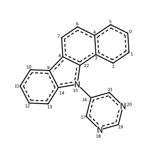 c1ccc2c(c1)ccc1c3ccccc3n(-c3cncnc3)c21